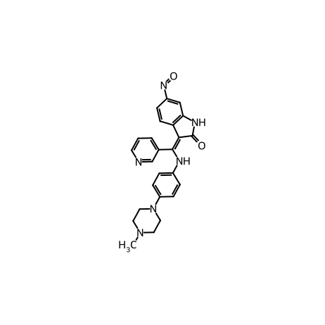 CN1CCN(c2ccc(N/C(=C3\C(=O)Nc4cc(N=O)ccc43)c3cccnc3)cc2)CC1